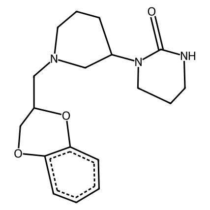 O=C1NCCCN1C1CCCN(CC2COc3ccccc3O2)C1